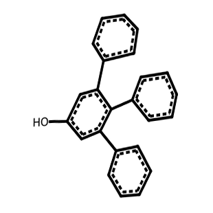 Oc1cc(-c2ccccc2)c(-c2ccccc2)c(-c2ccccc2)c1